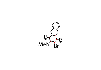 CNC1=C(Br)C(=O)C2=C(C1=O)C1C3=C(C(=O)C=CC3=O)C2c2ccccc21